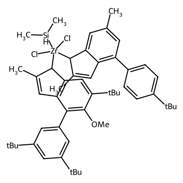 COc1c(C(C)(C)C)cc2c(c1-c1cc(C(C)(C)C)cc(C(C)(C)C)c1)C=C(C)[CH]2[Zr]([Cl])([Cl])([CH]1C(C)=Cc2c(-c3ccc(C(C)(C)C)cc3)cc(C)cc21)[SiH](C)C